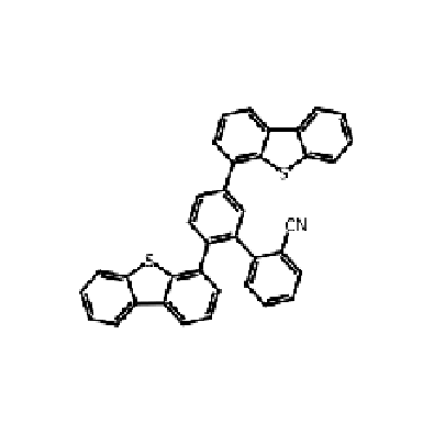 N#Cc1ccccc1-c1cc(-c2cccc3c2sc2ccccc23)ccc1-c1cccc2c1sc1ccccc12